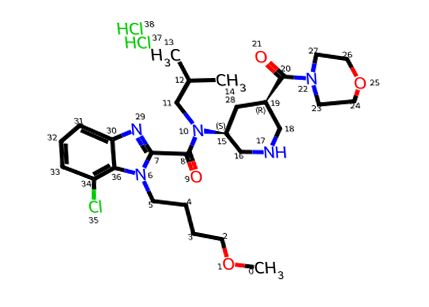 COCCCCn1c(C(=O)N(CC(C)C)[C@@H]2CNC[C@H](C(=O)N3CCOCC3)C2)nc2cccc(Cl)c21.Cl.Cl